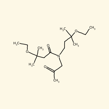 CCOC(C)(C)CCN(CC(C)=O)C(=O)CC(C)(C)OCC